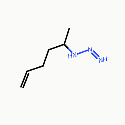 C=CCCC(C)NN=N